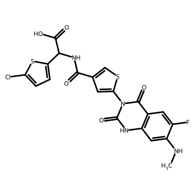 CNc1cc2[nH]c(=O)n(-c3cc(C(=O)NC(C(=O)O)c4ccc(Cl)s4)cs3)c(=O)c2cc1F